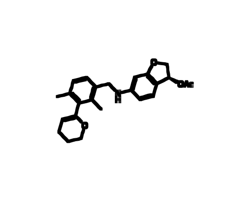 CC(=O)O[C@@H]1COc2cc(NCc3ccc(C)c(C4=CCCCO4)c3C)ccc21